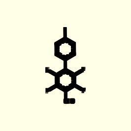 Cc1ccc(-c2c(F)c(F)c(C=O)c(F)c2F)cc1